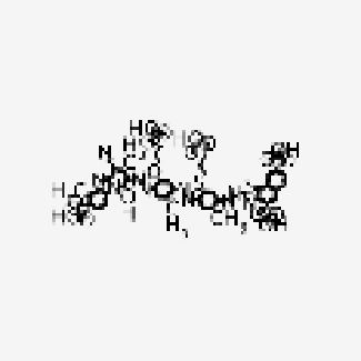 Cc1cc(N=Nc2cc(OCCCS(=O)(=O)O)c(N=Nc3c(C)c(C#N)c4nc5c(C)c(S(=O)(=O)O)ccc5n4c3O)cc2C)c(SCCCS(=O)(=O)O)cc1N=Nc1nc2c(S(=O)(=O)O)cc3ccc(S(=O)(=O)O)cc3c2s1